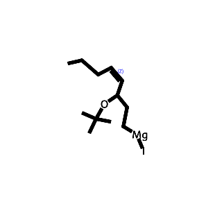 CCC/C=C\C(C[CH2][Mg][I])OC(C)(C)C